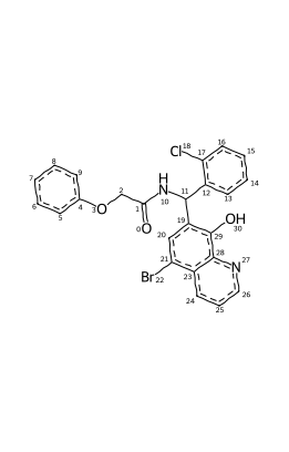 O=C(COc1ccccc1)NC(c1ccccc1Cl)c1cc(Br)c2cccnc2c1O